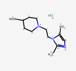 CNC1CCN(CCn2c([N+](=O)[O-])cnc2C)CC1.Cl